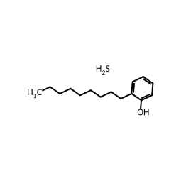 CCCCCCCCCc1ccccc1O.S